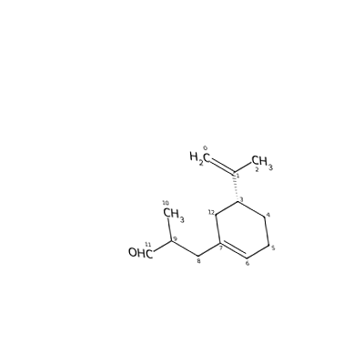 C=C(C)[C@@H]1CCC=C(CC(C)C=O)C1